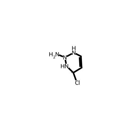 NN1NC=C[C](Cl)N1